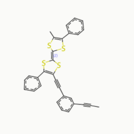 CC#Cc1cccc(C#CC2=C(c3ccccc3)S/C(=C3\SC(C)=C(c4ccccc4)S3)S2)c1